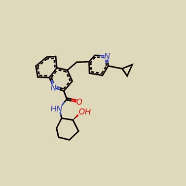 O=C(NC1CCCC[C@@H]1O)c1cc(Cc2ccc(C3CC3)nc2)c2ccccc2n1